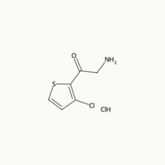 Cl.NCC(=O)c1sccc1Cl